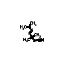 CC(C)/N=N/C(C)(C)SC#N